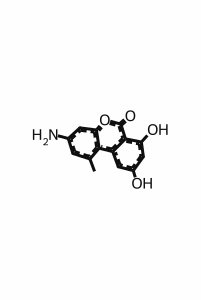 Cc1cc(N)cc2oc(=O)c3c(O)cc(O)cc3c12